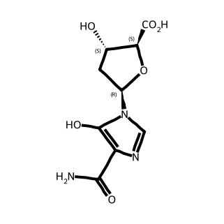 NC(=O)c1ncn([C@H]2C[C@H](O)[C@@H](C(=O)O)O2)c1O